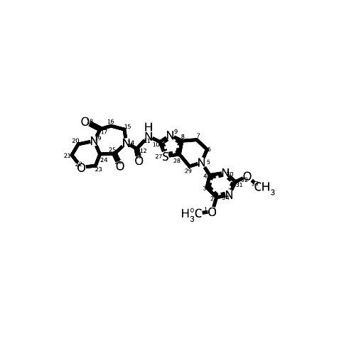 COc1cc(N2CCc3nc(NC(=O)N4CCC(=O)N5CCOCC5C4=O)sc3C2)nc(OC)n1